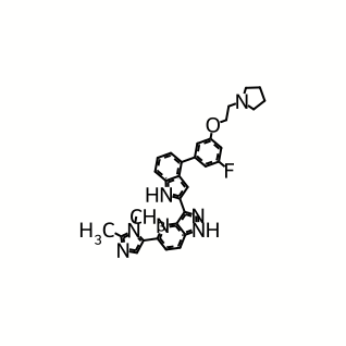 Cc1ncc(-c2ccc3[nH]nc(-c4cc5c(-c6cc(F)cc(OCCN7CCCC7)c6)cccc5[nH]4)c3n2)n1C